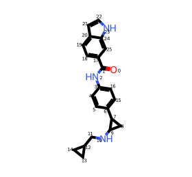 O=C(Nc1ccc(C2CC2NCC2CC2)cc1)c1ccc2cc[nH]c2c1